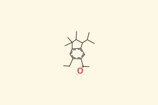 CCc1cc2c(cc1C(C)=O)C(C(C)C)C(C)C2(C)C